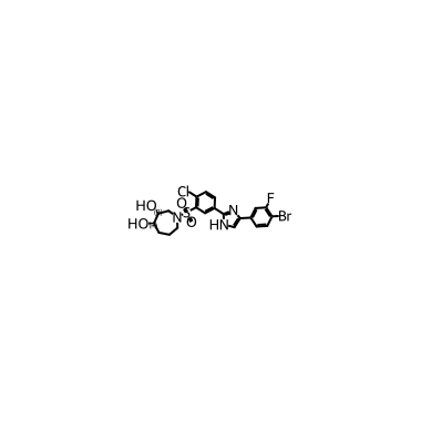 O=S(=O)(c1cc(-c2nc(-c3ccc(Br)c(F)c3)c[nH]2)ccc1Cl)N1CCC[C@@H](O)[C@H](O)C1